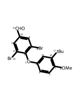 COc1ccc(Oc2c(Br)cc(C=O)cc2Br)cc1C(C)(C)C